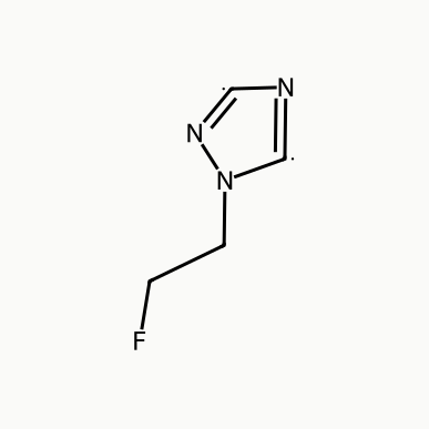 FCCn1[c]n[c]n1